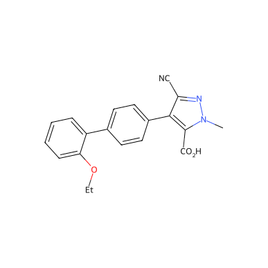 CCOc1ccccc1-c1ccc(-c2c(C#N)nn(C)c2C(=O)O)cc1